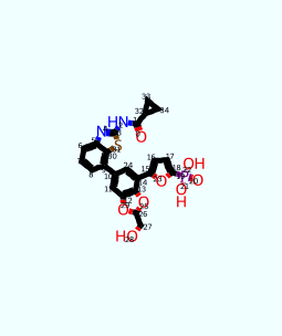 O=C(Nc1nc2cccc(-c3cc4c(c(-c5ccc(P(=O)(O)O)o5)c3)OC(CO)O4)c2s1)C1CC1